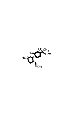 CCCCCCC(C)(C)c1ccc([C@H]2C[C@H](O)CC[C@@H]2C=NO)c(O)c1